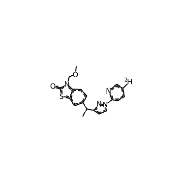 [2H]c1ccc(-n2ccc(C(C)c3ccc4c(c3)sc(=O)n4COC)n2)nc1